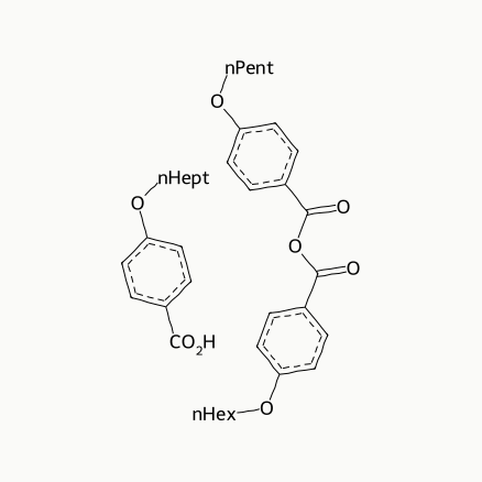 CCCCCCCOc1ccc(C(=O)O)cc1.CCCCCCOc1ccc(C(=O)OC(=O)c2ccc(OCCCCC)cc2)cc1